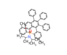 Cc1cccc([P@@](=O)(c2cc(C)ccc2-c2c(-c3ccccc3)c(-c3ccccc3)c(-c3ccccc3)c3ccccc23)N(C(C)C)C(C)C)c1